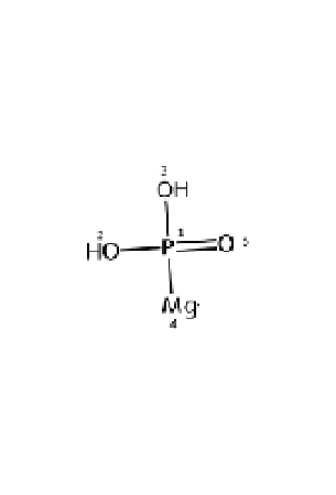 O=[P](O)(O)[Mg]